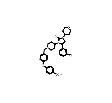 O=C(O)c1ccc(Oc2ccc(CN3CCC(N4C(=O)N(C5CCOCC5)CC4c4cccc(Cl)c4)CC3)cc2)cc1